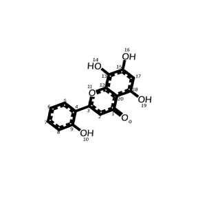 O=c1cc(-c2ccccc2O)oc2c(O)c(O)cc(O)c12